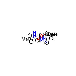 CCCCCCCCCCCC(NC(c1ccccc1)(c1ccccc1)c1ccccc1OC)OP(N)OC(CCCCCCCCCCC)NC(c1ccccc1)(c1ccccc1)c1ccccc1OC